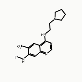 CCNc1cc2ncnc(NCCN3CCCC3)c2cc1[N+](=O)[O-]